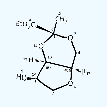 CCOC(=O)[C@@]1(C)OC[C@H]2OC[C@H](O)[C@H]2O1